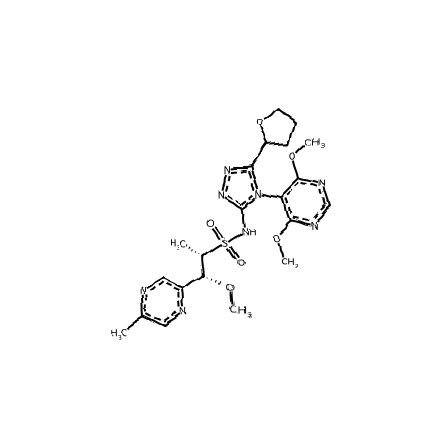 COc1ncnc(OC)c1-n1c(NS(=O)(=O)[C@@H](C)[C@H](OC)c2cnc(C)cn2)nnc1C1CCCO1